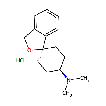 CN(C)[C@H]1CC[C@]2(CC1)OCc1ccccc12.Cl